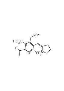 CC(C)Cc1c(C=C2CCCO2)c(C(F)(F)F)nc(C(F)F)c1C(=O)O